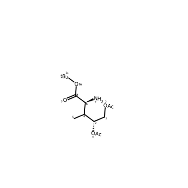 CC(=O)OC[C@H](OC(C)=O)C(C)[C@H](N)C(=O)OC(C)(C)C